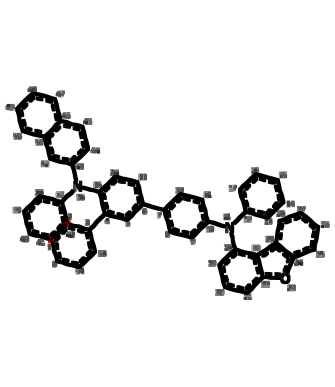 c1ccc(-c2cc(-c3ccc(N(c4ccccc4)c4cccc5oc6ccccc6c45)cc3)ccc2N(c2ccccc2)c2ccc3ccccc3c2)cc1